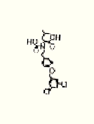 CC(C)CC(C(=O)O)N(CCc1ccc(OCc2cc(Cl)cc(Cl)c2)cc1)C(=O)O